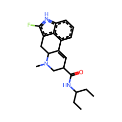 CCC(CC)NC(=O)C1C=C2c3cccc4[nH]c(F)c(c34)CC2N(C)C1